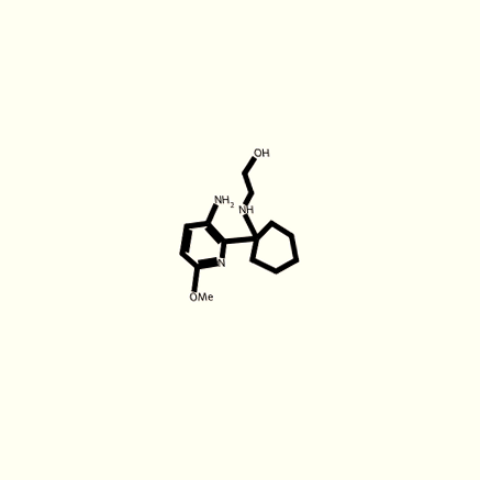 COc1ccc(N)c(C2(NCCO)CCCCC2)n1